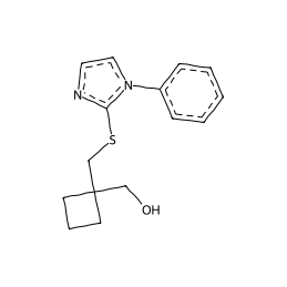 OCC1(CSc2nccn2-c2ccccc2)CCC1